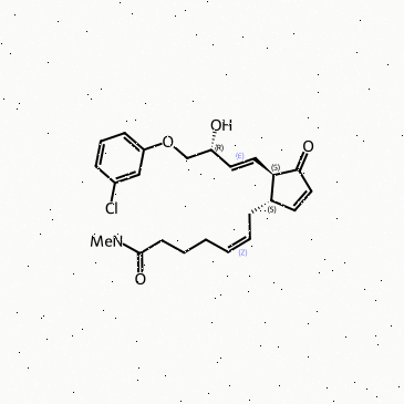 CNC(=O)CCC/C=C\C[C@H]1C=CC(=O)[C@@H]1/C=C/[C@@H](O)COc1cccc(Cl)c1